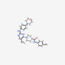 CC(=O)c1ccc(NC(=O)N2CCN(c3nc(Nc4ccc(N5CCOCC5)cc4)ncc3C)CC2)cc1